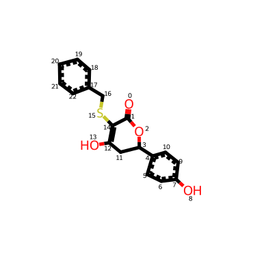 O=C1OC(c2ccc(O)cc2)CC(O)=C1SCc1ccccc1